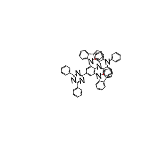 c1ccc(-c2nc(-c3ccccc3)nc(-c3cc(-n4c5ccccc5c5ccccc54)c(N4c5ccccc5N(c5ccccc5)c5ccccc54)c(-n4c5ccccc5c5ccccc54)c3)n2)cc1